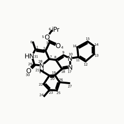 CC1=C(C(=O)OC(C)C)C(c2cn(-c3ccccc3)nc2-c2c(C)cc(C)cc2C)NC(=O)N1